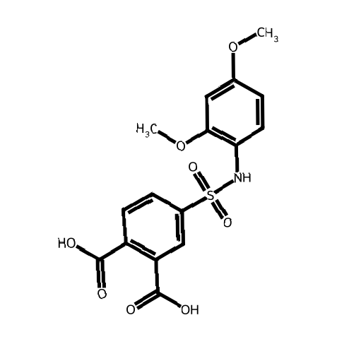 COc1ccc(NS(=O)(=O)c2ccc(C(=O)O)c(C(=O)O)c2)c(OC)c1